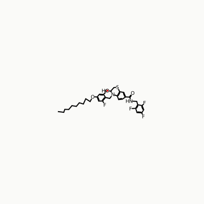 CCCCCCCCCCOc1cc(F)c(CN2c3ccc(C(=O)NCc4c(F)cc(F)cc4F)cc3SCC2O)c(F)c1